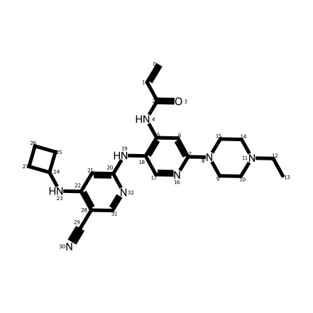 C=CC(=O)Nc1cc(N2CCN(CC)CC2)ncc1Nc1cc(NC2CCC2)c(C#N)cn1